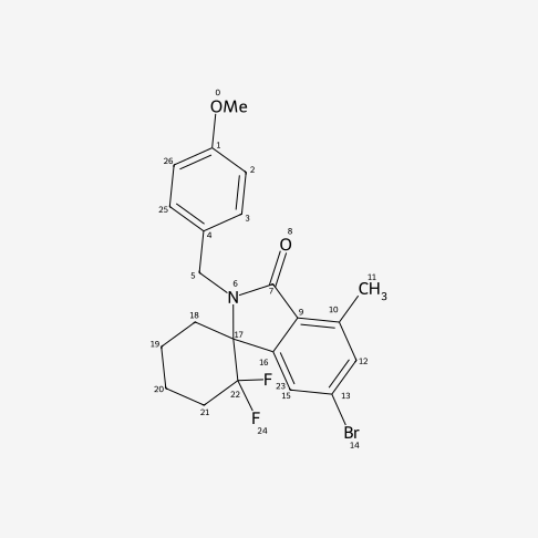 COc1ccc(CN2C(=O)c3c(C)cc(Br)cc3C23CCCCC3(F)F)cc1